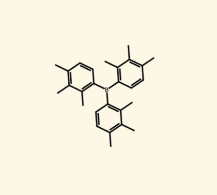 Cc1ccc(B(c2ccc(C)c(C)c2C)c2ccc(C)c(C)c2C)c(C)c1C